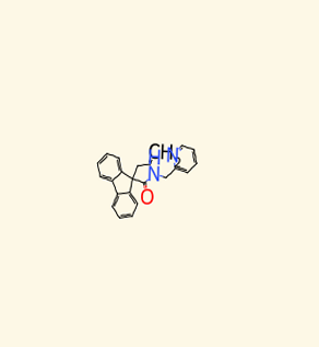 C=CCC1(C(=O)NCc2ccccn2)c2ccccc2-c2ccccc21